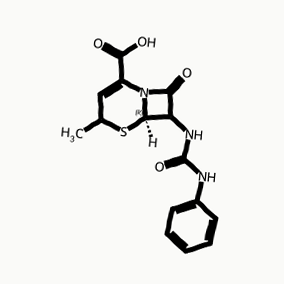 CC1C=C(C(=O)O)N2C(=O)C(NC(=O)Nc3ccccc3)[C@H]2S1